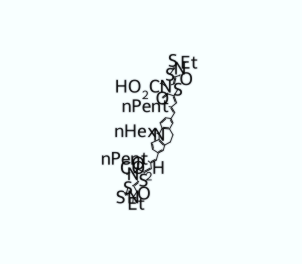 CCCCCCN1c2ccc(/C=C(/C=c3/s/c(=C4/SC(=S)N(CC)C4=O)n(CC(=O)O)c3=O)CCCCC)cc2CCc2cc(/C=C(/C=c3/s/c(=C4/SC(=S)N(CC)C4=O)n(CC(=O)O)c3=O)CCCCC)ccc21